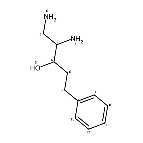 NCC(N)C(O)CCc1ccccc1